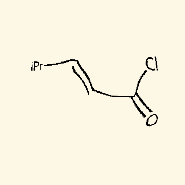 CC(C)C=CC(=O)Cl